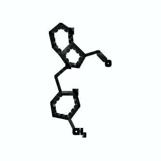 Cc1ccc(Cn2cc(C=O)c3ncccc32)nc1